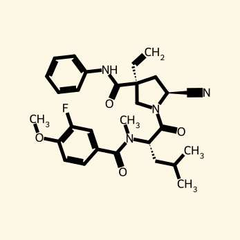 C=C[C@]1(C(=O)Nc2ccccc2)C[C@@H](C#N)N(C(=O)[C@H](CC(C)C)N(C)C(=O)c2ccc(OC)c(F)c2)C1